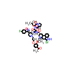 CC(C)C[C@H]1C(=O)N2CCC[C@H]2[C@]2(O)O[C@](NC(=O)[C@@H]3C=C4c5cccc6[nH]c(Br)c(c56)C[C@H]4N(C)C3)(C(C)C)C(=O)N12.COc1cc(C(C)=O)ccc1OCCCN1CCC(c2noc3cc(F)ccc23)CC1